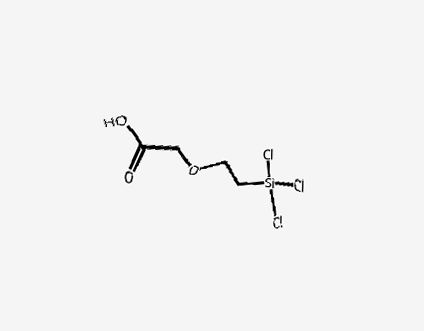 O=C(O)COCC[Si](Cl)(Cl)Cl